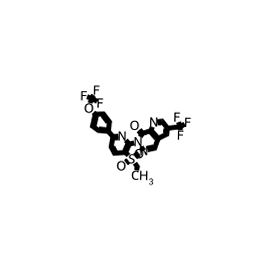 CCS(=O)(=O)c1ccc(-c2ccc(OC(F)(F)F)cc2)nc1-n1ncc2cc(C(F)(F)F)cnc2c1=O